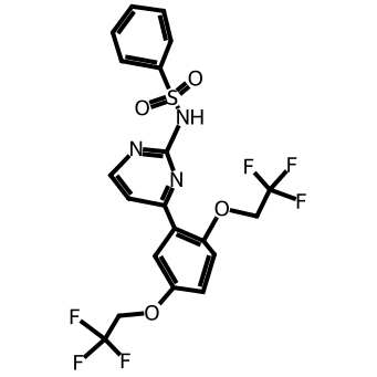 O=S(=O)(Nc1nccc(-c2cc(OCC(F)(F)F)ccc2OCC(F)(F)F)n1)c1ccccc1